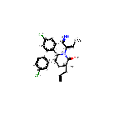 C=CC[C@@]1(C)C[C@H](c2cccc(Cl)c2)[C@@H](c2ccc(Cl)cc2)N(/C(C=N)=C/NC)C1=O